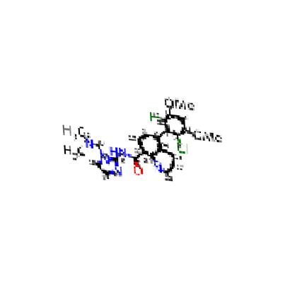 COc1cc(OC)c(Cl)c(-c2ccc(C(=O)Nc3nccn3CN(C)C)c3ncccc23)c1F